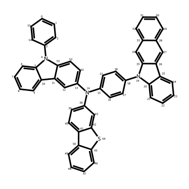 c1ccc(-n2c3ccccc3c3cc(N(c4ccc(-n5c6ccccc6c6cc7ccccc7cc65)cc4)c4ccc5c(c4)sc4ccccc45)ccc32)cc1